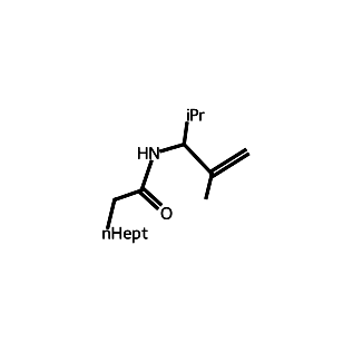 C=C(C)C(NC(=O)CCCCCCCC)C(C)C